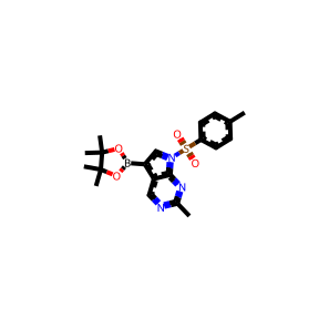 Cc1ccc(S(=O)(=O)n2cc(B3OC(C)(C)C(C)(C)O3)c3cnc(C)nc32)cc1